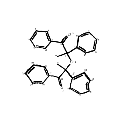 CC(OC(C)(C(=O)c1ccccc1)c1ccccc1)(C(=O)c1ccccc1)c1ccccc1